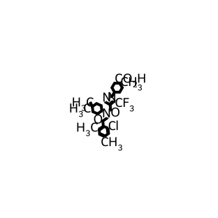 Cc1cc(C)c(C(=O)CN(C(=O)c2cnn(C3CCC(C)(C(=O)O)CC3)c2C(F)(F)F)C2CCC(C)(C)CC2)c(Cl)c1